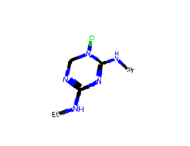 CCNC1=NCN(Cl)C(NC(C)C)=N1